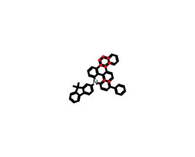 CC1(C)c2ccccc2-c2ccc(N(c3ccc(-c4ccccc4)cc3)c3cccc(-c4ccccc4)c3-c3ccccc3-c3cccc4ccccc34)cc21